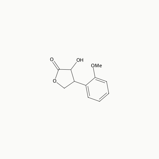 COc1ccccc1C1COC(=O)C1O